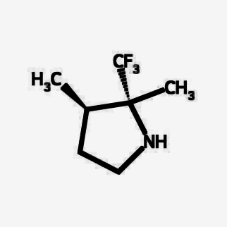 C[C@@H]1CCN[C@@]1(C)C(F)(F)F